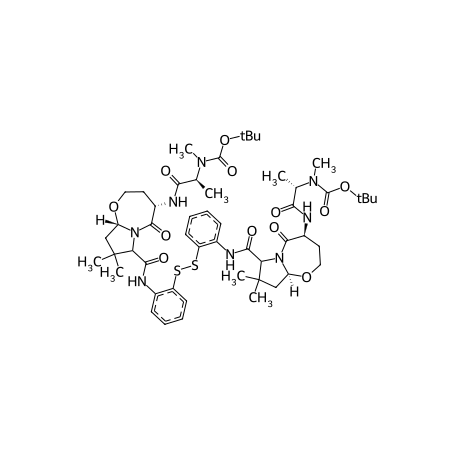 C[C@@H](C(=O)N[C@H]1CCO[C@H]2CC(C)(C)C(C(=O)Nc3ccccc3SSc3ccccc3NC(=O)C3N4C(=O)[C@@H](NC(=O)[C@H](C)N(C)C(=O)OC(C)(C)C)CCO[C@H]4CC3(C)C)N2C1=O)N(C)C(=O)OC(C)(C)C